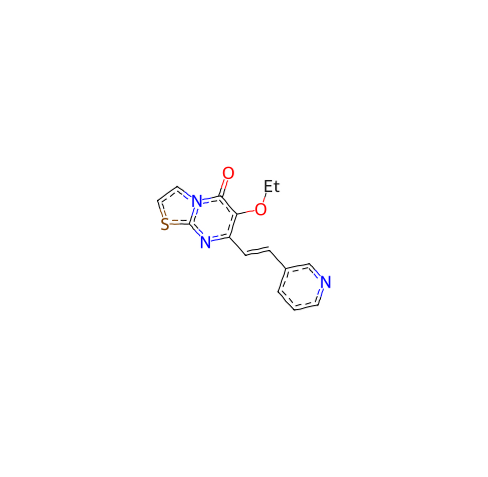 CCOc1c(/C=C/c2cccnc2)nc2sccn2c1=O